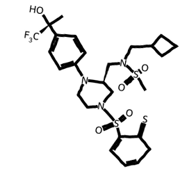 C[C@@](O)(c1ccc(N2CCN(S(=O)(=O)C3=CC=CCC3=S)C[C@@H]2CN(CC2CCC2)S(C)(=O)=O)cc1)C(F)(F)F